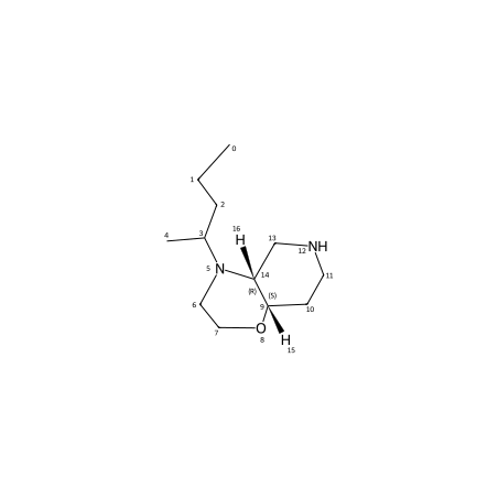 CCCC(C)N1CCO[C@H]2CCNC[C@H]21